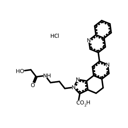 Cl.O=C(CO)NCCCn1nc2c(c1C(=O)O)CCc1cnc(-c3cnc4ccccc4c3)cc1-2